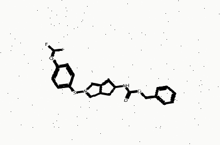 O=C(NC1CC2CN(Sc3ccc(OC(F)F)cc3)CC2C1)OCc1ccccc1